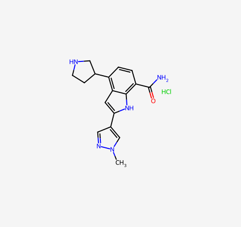 Cl.Cn1cc(-c2cc3c(C4CCNC4)ccc(C(N)=O)c3[nH]2)cn1